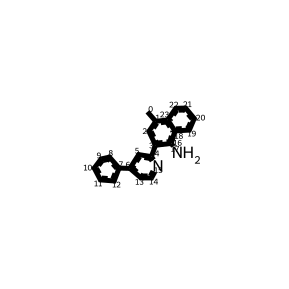 Cc1cc(-c2cc(-c3ccccc3)ccn2)c(N)c2ccccc12